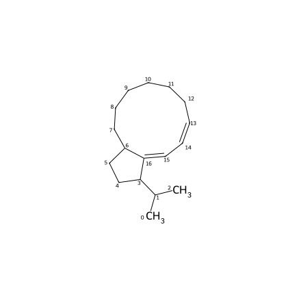 CC(C)C1CCC2CCCCCCC=CC=C21